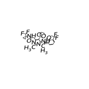 Cc1nc(CC(=O)NC2(C(F)F)CC2)c(C2OCCO2)c(N[C@H](C)c2cccc3c2OCC3(F)F)n1